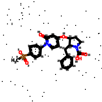 CS(=O)(=O)c1ccc(-n2ccc(OC3CCN(C(=O)O)C3Cc3ccccc3)cc2=O)cc1